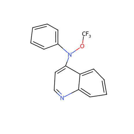 FC(F)(F)ON(c1ccccc1)c1ccnc2ccccc12